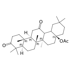 CC(=O)O[C@]12CCC(C)(C)CC1C1C(=O)C[C@@H]3[C@@]4(C)CCC(=O)C(C)(C)[C@@H]4CC[C@@]3(C)[C@]1(C)CC2